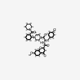 COc1ccc2c(=O)cc(C(=O)N[C@H](Cc3ccc(Cl)cc3)C(=O)N3CCN(c4ccccc4C(=O)N4CCCCC4)CC3)oc2c1